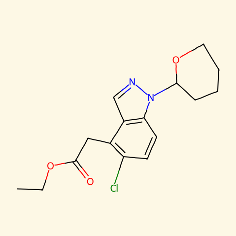 CCOC(=O)Cc1c(Cl)ccc2c1cnn2C1CCCCO1